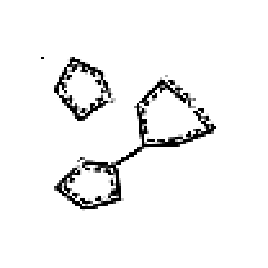 [c]1ccc(-c2ccccc2)s1.[c]1cccs1